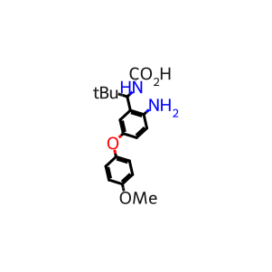 COc1ccc(Oc2ccc(N)c(C(NC(=O)O)C(C)(C)C)c2)cc1